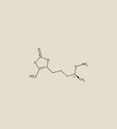 C[C@@H](CCCc1oc(=O)oc1C(=O)O)O[N+](=O)[O-]